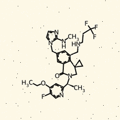 CCOc1cc([C@H](C)N2CC3(CC3)c3c(CNCCC(F)(F)F)cc(Cn4ccnc4NC)cc3C2=O)ncc1F